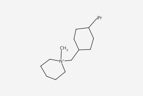 CC(C)C1CCC(C[N+]2(C)CCCCC2)CC1